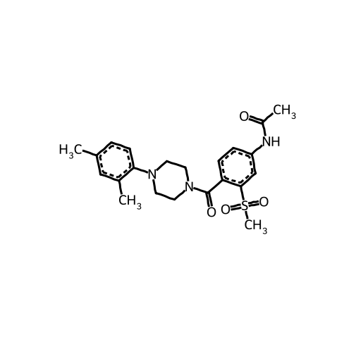 CC(=O)Nc1ccc(C(=O)N2CCN(c3ccc(C)cc3C)CC2)c(S(C)(=O)=O)c1